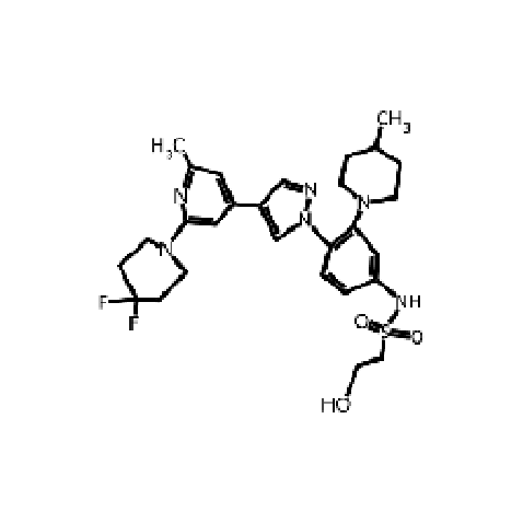 Cc1cc(-c2cnn(-c3ccc(NS(=O)(=O)CCO)cc3N3CCC(C)CC3)c2)cc(N2CCC(F)(F)CC2)n1